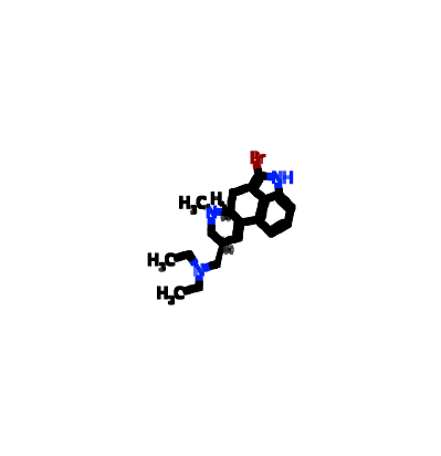 CCN(CC)C[C@@H]1C=C2c3cccc4[nH]c(Br)c(c34)C[C@@H]2N(C)C1